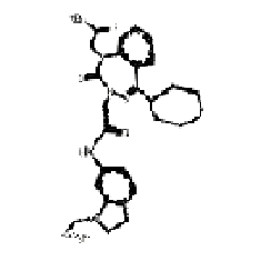 CC(C)(C)C(=O)CN1C(=O)N(CC(=O)Nc2ccc3c(c2)N(CC(=O)O)CC3)N=C(C2CCCCC2)c2ccccc21